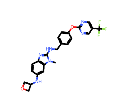 Cn1c(NCc2ccc(Oc3ncc(C(F)(F)F)cn3)cc2)nc2ccc(NC3COC3)cc21